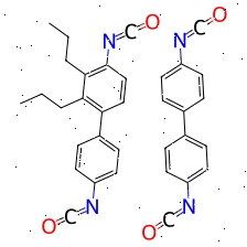 CCCc1c(N=C=O)ccc(-c2ccc(N=C=O)cc2)c1CCC.O=C=Nc1ccc(-c2ccc(N=C=O)cc2)cc1